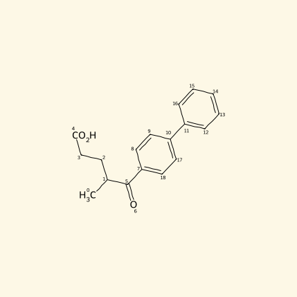 CC(CCC(=O)O)C(=O)c1ccc(-c2ccccc2)cc1